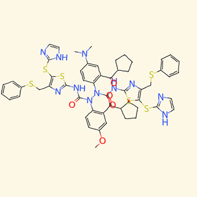 COc1ccc(N(C(=O)Nc2nc(CSc3ccccc3)c(Sc3ncc[nH]3)s2)N(C(=O)Nc2nc(CSc3ccccc3)c(Sc3ncc[nH]3)s2)c2ccc(N(C)C)cc2C(=O)C2CCCC2)c(C(=O)C2CCCC2)c1